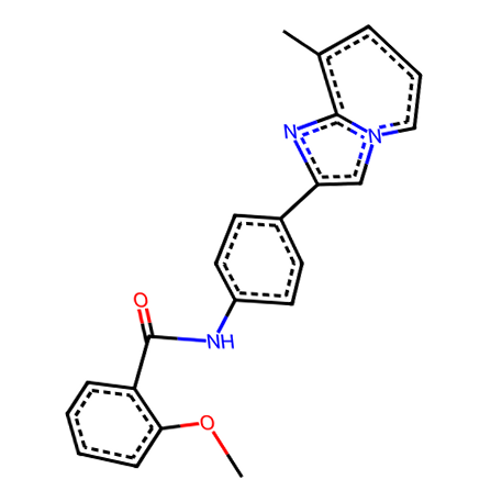 COc1ccccc1C(=O)Nc1ccc(-c2cn3cccc(C)c3n2)cc1